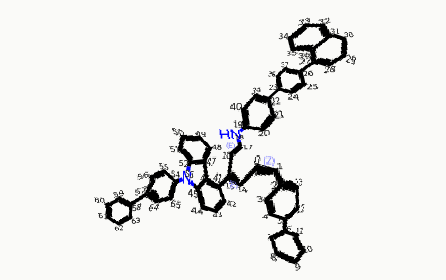 C(=C/c1ccc(-c2ccccc2)cc1)/C=C(\C=C\Nc1ccc(-c2ccc(-c3cccc4ccccc34)cc2)cc1)c1cccc2c1c1ccccc1n2-c1ccc(-c2ccccc2)cc1